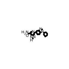 NC(=O)c1cnc(-c2ccc3c(c2)ncn3C2CCCCC2)c2nc[nH]c12